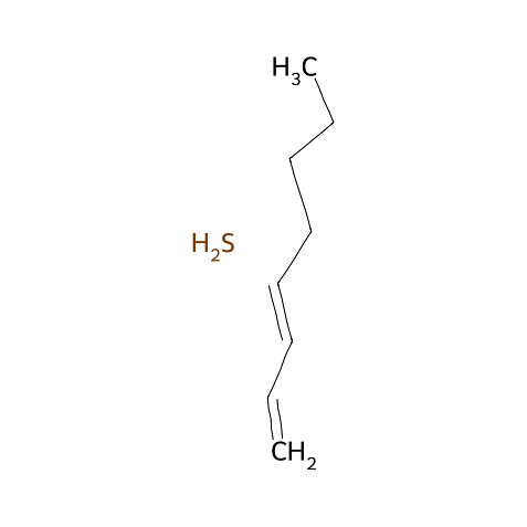 C=CC=CCCCC.S